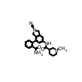 CN1CCCC(C(=O)Nc2cc3c(c(-c4ccccc4C(N)=O)c2)CN(C#N)C3)C1